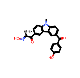 CCCCCC/C(=N\O)C(=O)c1ccc2c(c1)c1cc(C(=O)c3ccc(O)cc3)ccc1n2C